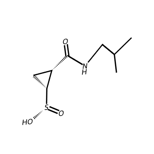 CC(C)CNC(=O)[C@H]1C[C@H]1[S@](=O)O